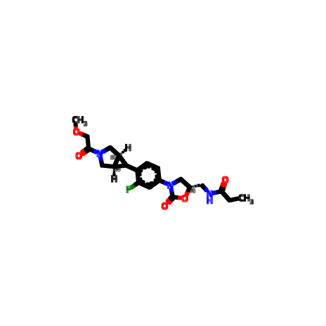 CCC(=O)NC[C@H]1CN(c2ccc(C3[C@H]4CN(C(=O)COC)C[C@@H]34)c(F)c2)C(=O)O1